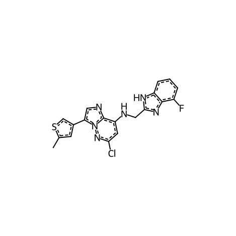 Cc1cc(-c2cnc3c(NCc4nc5c(F)cccc5[nH]4)cc(Cl)nn23)cs1